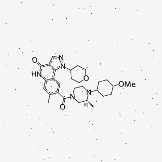 COC1CCC(N2CCN(C(=O)c3cc4c(cc3C)[nH]c(=O)c3cnn(C5CCOCC5)c34)C[C@@H]2C)CC1